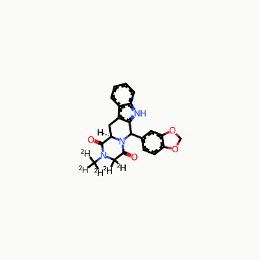 [2H]C([2H])([2H])N1C(=O)[C@H]2Cc3c([nH]c4ccccc34)C(c3ccc4c(c3)OCO4)N2C(=O)C1([2H])[2H]